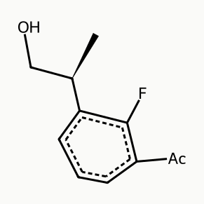 CC(=O)c1cccc([C@H](C)CO)c1F